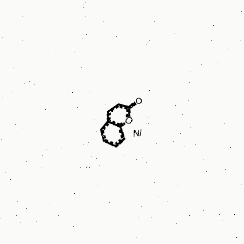 O=c1ccc2ccccc2o1.[Ni]